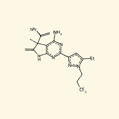 C=C(CCC)C1(C)C(=C)Nc2nc(-c3cc(CC)n(CCC(F)(F)F)n3)nc(N)c21